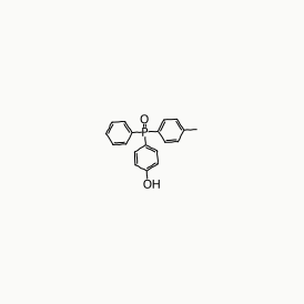 Cc1ccc(P(=O)(c2ccccc2)c2ccc(O)cc2)cc1